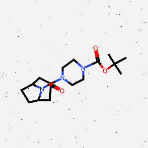 CC(C)(C)OC(=O)N1CCN(C2CC3CCC(C2)N3C=O)CC1